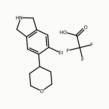 CCc1cc2c(cc1C1CCOCC1)CNC2.O=C(O)C(F)(F)F